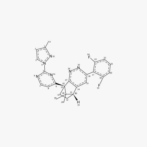 Cc1ccn(-c2nccc([C@@]34CC[C@@H](c5cc(-c6c(F)cccc6F)nnc53)C4(C)C)n2)n1